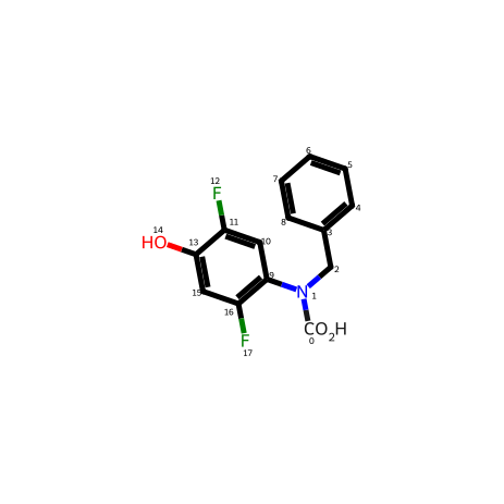 O=C(O)N(Cc1ccccc1)c1cc(F)c(O)cc1F